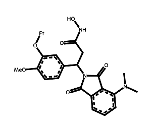 CCOc1cc(C(CC(=O)NO)N2C(=O)c3cccc(N(C)C)c3C2=O)ccc1OC